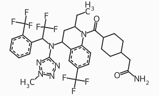 CCC1CC(N(c2nnn(C)n2)C(c2ccccc2C(F)(F)F)C(F)(F)F)c2cc(C(F)(F)F)ccc2N1C(=O)C1CCC(CC(N)=O)CC1